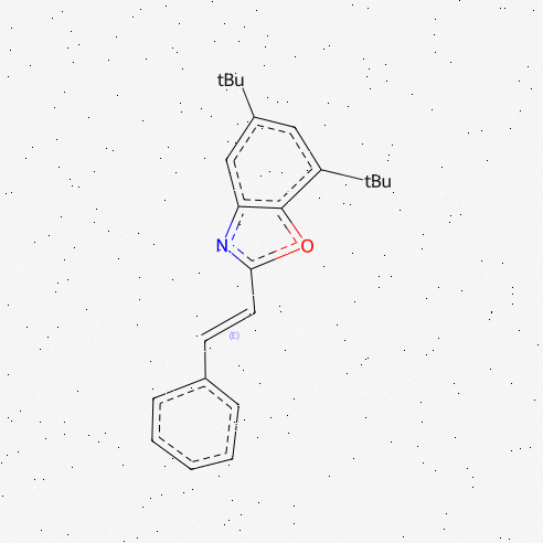 CC(C)(C)c1cc(C(C)(C)C)c2oc(/C=C/c3ccccc3)nc2c1